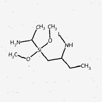 CCC(C[Si](OC)(OC)C(C)N)NI